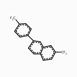 FC(F)(F)c1ccc(-c2ccc3ccc(C(F)(F)F)cc3c2)cc1